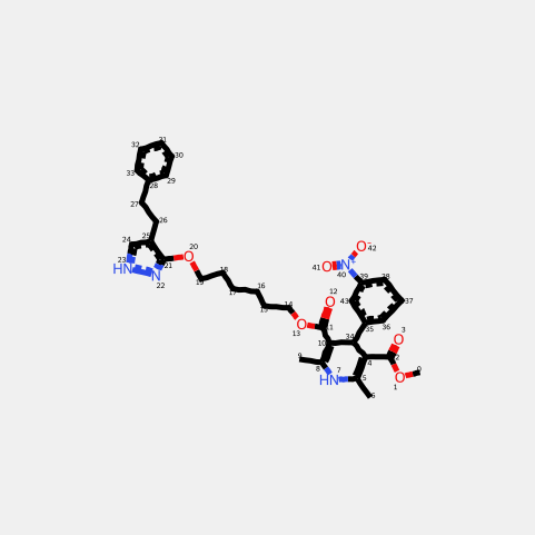 COC(=O)C1=C(C)NC(C)=C(C(=O)OCCCCCCOc2n[nH]cc2CCc2ccccc2)C1c1cccc([N+](=O)[O-])c1